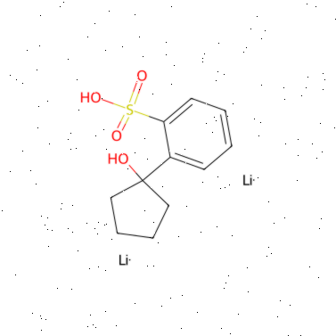 O=S(=O)(O)c1ccccc1C1(O)CCCC1.[Li].[Li]